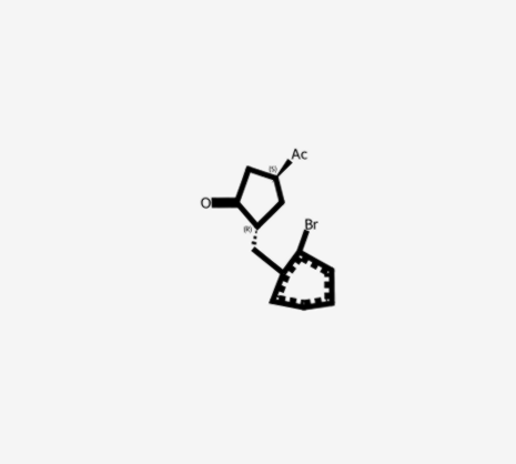 CC(=O)[C@@H]1CC(=O)[C@@H](Cc2ccccc2Br)C1